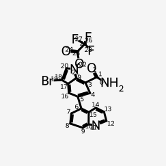 NC(=O)c1cc(-c2cccc3ncccc23)cc2c(Br)cn(OC(=O)C(F)(F)F)c12